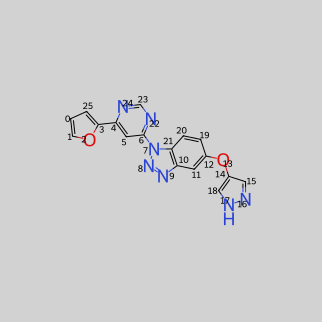 c1coc(-c2cc(-n3nnc4cc(Oc5cn[nH]c5)ccc43)ncn2)c1